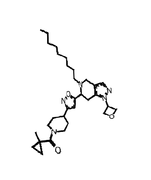 CCCCCCCCCN1Cc2cnn(C3COC3)c2CC1c1cc(C2CCN(C(=O)C3(C)CC3)CC2)no1